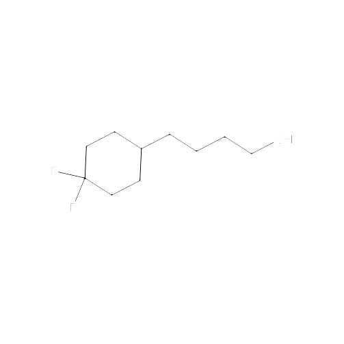 OCCCCC1CCC(F)(F)CC1